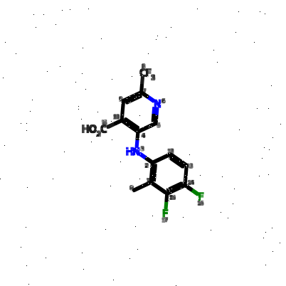 Cc1c(Nc2cnc(C(F)(F)F)cc2C(=O)O)ccc(F)c1F